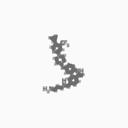 C=C(Nc1ccc(SN2CCN(c3cc(C(F)(F)F)c(C4CC4)cn3)CC2)cc1)c1ccc(CNCCCN)cc1